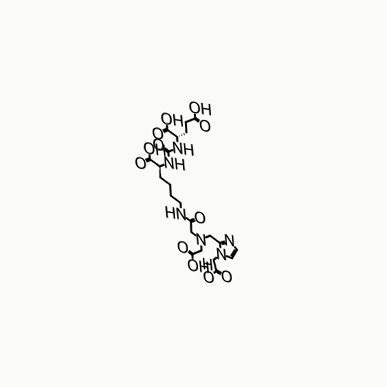 O=C(O)CC[C@H](NC(=O)N[C@@H](CCCCNC(=O)CN(CC(=O)O)Cc1nccn1CC(=O)O)C(=O)O)C(=O)O